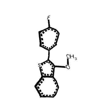 COc1c(-c2ccc(F)cc2)sc2ccccc12